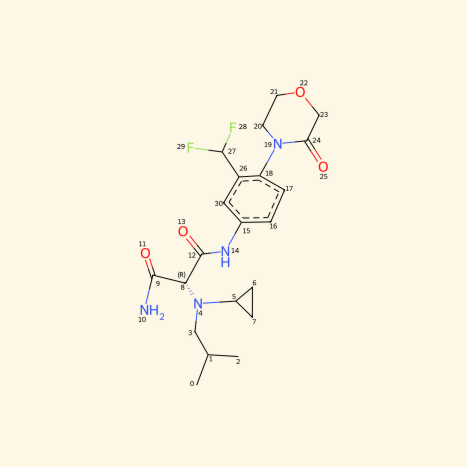 CC(C)CN(C1CC1)[C@H](C(N)=O)C(=O)Nc1ccc(N2CCOCC2=O)c(C(F)F)c1